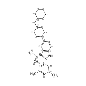 Cc1cc(-c2[nH]c3ccc(C4CCN(CC5CCCCC5)CC4)cc3c2C(C)C)cc(C)n1